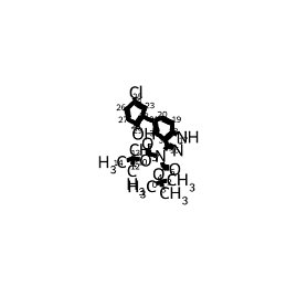 CC(C)(C)OC(=O)N(C(=O)OC(C)(C)C)c1n[nH]c2ccc(-c3cc(Cl)ccc3O)cc12